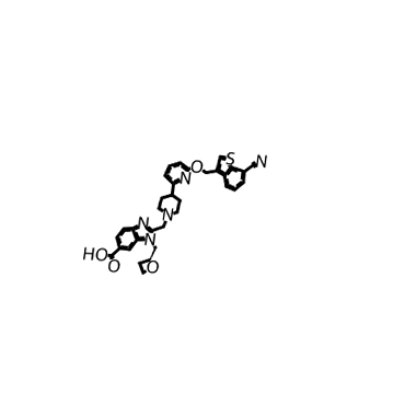 N#Cc1cccc2c(COc3cccc(C4CCN(Cc5nc6ccc(C(=O)O)cc6n5C[C@@H]5CCO5)CC4)n3)csc12